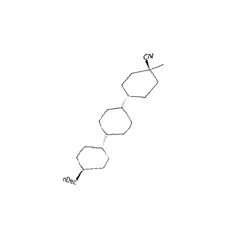 CCCCCCCCCC[C@H]1CC[C@H](C2CCC([C@H]3CC[C@](C)(C#N)CC3)CC2)CC1